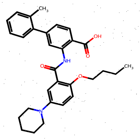 CCCCOc1ccc(N2CCCCC2)cc1C(=O)Nc1cc(-c2ccccc2C)ccc1C(=O)O